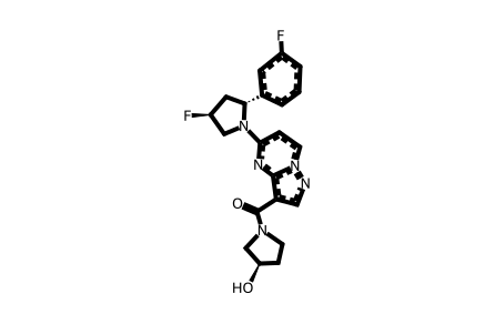 O=C(c1cnn2ccc(N3C[C@@H](F)C[C@@H]3c3cccc(F)c3)nc12)N1CC[C@@H](O)C1